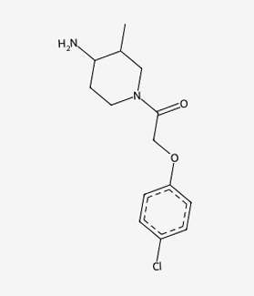 CC1CN(C(=O)COc2ccc(Cl)cc2)CCC1N